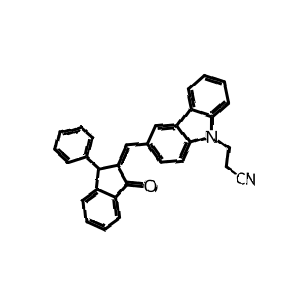 N#CCCn1c2ccccc2c2cc(/C=C3\C(=O)c4ccccc4C3c3ccccc3)ccc21